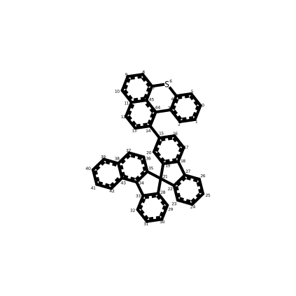 c1ccc2c(c1)Sc1cccc3ccc(-c4ccc5c(c4)C4(c6ccccc6-5)c5ccccc5-c5c4ccc4ccccc54)c-2c13